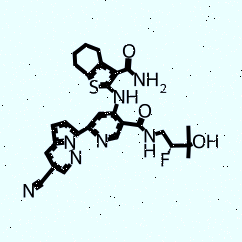 CC(C)(O)[C@H](F)CNC(=O)c1cnc(-c2ccc3cc(C#N)cnn23)cc1Nc1sc2c(c1C(N)=O)CCCC2